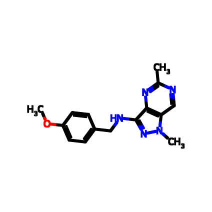 COc1ccc(CNc2nn(C)c3cnc(C)nc23)cc1